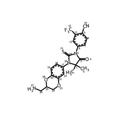 CC1(C)C(=O)N(c2ccc(C#N)c(C(F)(F)F)c2)C(=S)N1c1ccc2c(c1)OCC(CN)O2